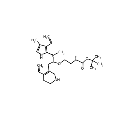 C=CC1=C(CC(OCCNC(=O)OC(C)(C)C)N(C)c2[nH]cc(C)c2C=C)CNCC1